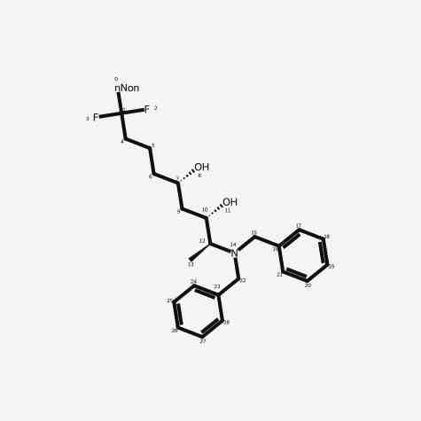 CCCCCCCCCC(F)(F)CCC[C@H](O)C[C@H](O)[C@H](C)N(Cc1ccccc1)Cc1ccccc1